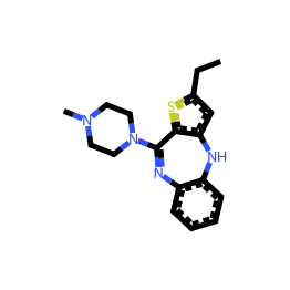 CCc1cc2c(s1)C(N1CCN(C)CC1)=Nc1ccccc1N2